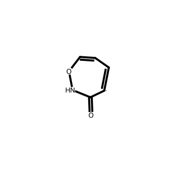 O=C1[C]=CC=CON1